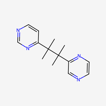 CC(C)(c1ccncn1)C(C)(C)c1cnccn1